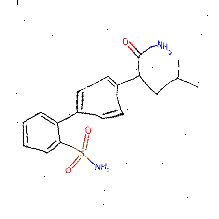 CC(C)CC(C(N)=O)c1ccc(-c2ccccc2S(N)(=O)=O)cc1